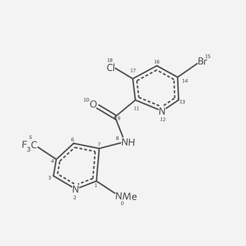 CNc1ncc(C(F)(F)F)cc1NC(=O)c1ncc(Br)cc1Cl